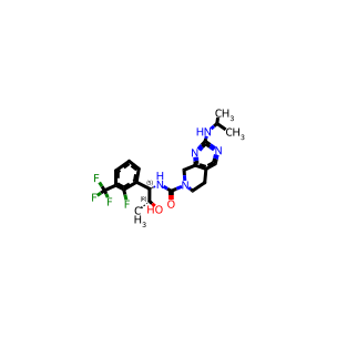 CC(C)Nc1ncc2c(n1)CN(C(=O)N[C@@H](c1cccc(C(F)(F)F)c1F)[C@@H](C)O)CC2